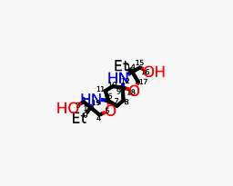 CCC1(CO)COC2(CCC3(CC2)NC(CC)(CO)CO3)N1